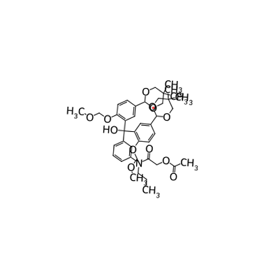 CCCN(C(=O)COC(C)=O)c1cccc(C(O)(c2cc(C3OCC(C)(C)CO3)ccc2OCOC)c2cc(C3OCC(C)(C)CO3)ccc2OCOC)c1